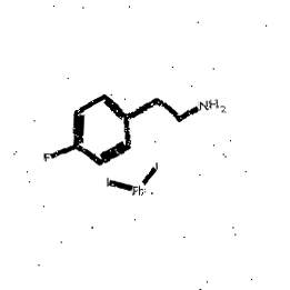 NCCc1ccc(F)cc1.[I][Pb][I]